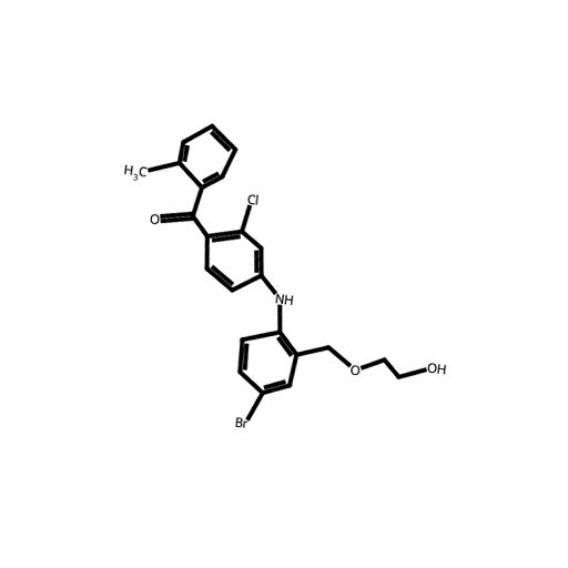 Cc1ccccc1C(=O)c1ccc(Nc2ccc(Br)cc2COCCO)cc1Cl